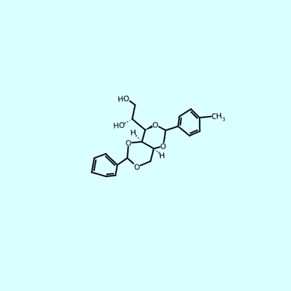 Cc1ccc(C2O[C@H]([C@H](O)CO)[C@@H]3OC(c4ccccc4)OC[C@@H]3O2)cc1